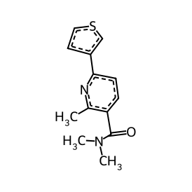 Cc1nc(-c2ccsc2)ccc1C(=O)N(C)C